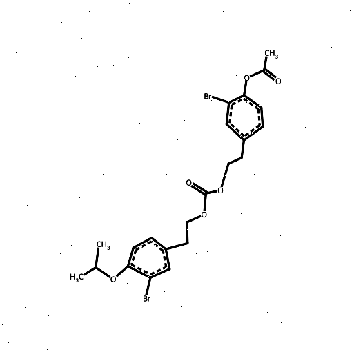 CC(=O)Oc1ccc(CCOC(=O)OCCc2ccc(OC(C)C)c(Br)c2)cc1Br